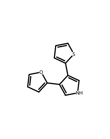 [c]1[nH]cc(-c2cccs2)c1-c1ccco1